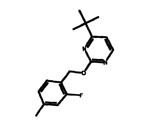 Cc1ccc(COc2nccc(C(C)(C)C)n2)c(F)c1